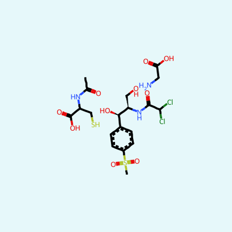 CC(=O)NC(CS)C(=O)O.CS(=O)(=O)c1ccc([C@@H](O)[C@@H](CO)NC(=O)C(Cl)Cl)cc1.NCC(=O)O